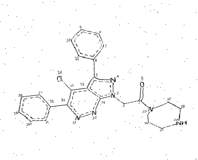 O=C(Cn1nc(-c2ccccc2)c2c(Cl)c(-c3ccccc3)nnc21)N1CCNCC1